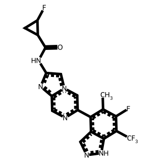 Cc1c(F)c(C(F)(F)F)c2[nH]ncc2c1-c1cn2cc(NC(=O)C3CC3F)nc2cn1